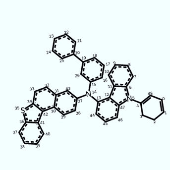 C1=CCCC(n2c3ccccc3c3c(N(c4cccc(-c5ccccc5)c4)c4ccc5c(ccc6sc7ccccc7c65)c4)cccc32)=C1